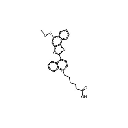 COSc1cc2oc(-c3cc[n+](CCCCCC(=O)O)c4ccccc34)nc2c2ccccc12